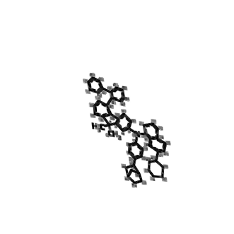 CC1(C)c2cc(N(c3ccc(C4CC5CCC4C5)cc3)c3cccc4ccc(C5CCCCC5)cc34)ccc2-c2c(-c3ccccc3-c3ccccc3)cccc21